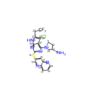 NC1CCN(c2nc(Sc3cnc4cccnc4c3)nc3[nH]c(CC(F)(F)F)c(Cl)c23)C1